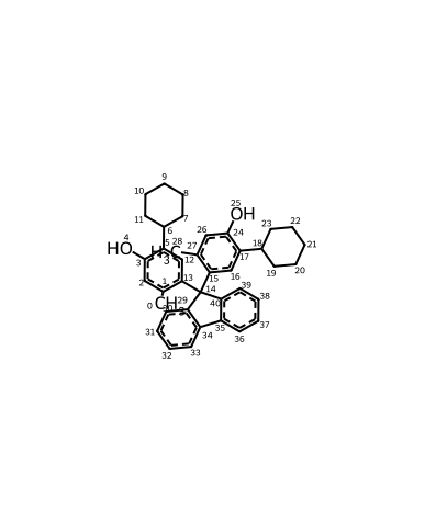 Cc1cc(O)c(C2CCCCC2)cc1C1(c2cc(C3CCCCC3)c(O)cc2C)c2ccccc2-c2ccccc21